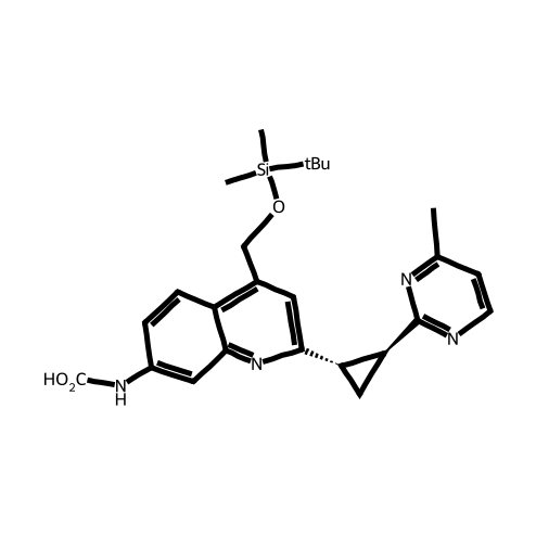 Cc1ccnc([C@H]2C[C@@H]2c2cc(CO[Si](C)(C)C(C)(C)C)c3ccc(NC(=O)O)cc3n2)n1